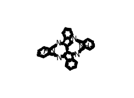 c1ccc2c(c1)-c1nc3[nH]c(nc4c5c(nc6[nH]c(nc-2c15)c1ccccc61)-c1ccccc1-4)c1ccccc31